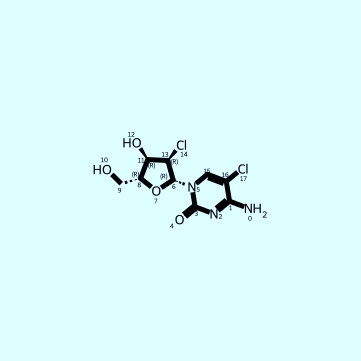 Nc1nc(=O)n([C@@H]2O[C@H](CO)[C@@H](O)[C@H]2Cl)cc1Cl